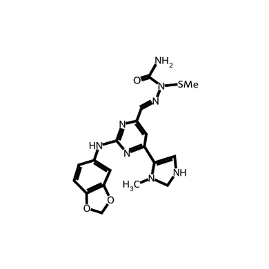 CSN(/N=C/c1cc(C2=CNCN2C)nc(Nc2ccc3c(c2)OCO3)n1)C(N)=O